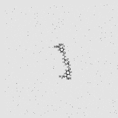 N=C(N)c1ccc(OCCCN2CCN(CCOc3ccc(C(=N)N)cc3)CC2)cc1